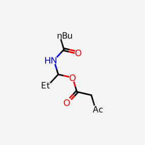 CCCCC(=O)NC(CC)OC(=O)CC(C)=O